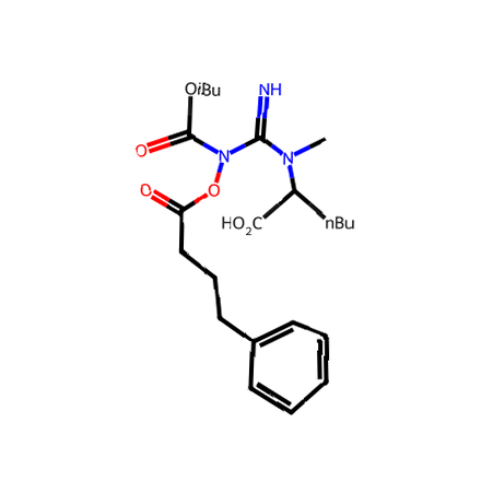 CCCCC(C(=O)O)N(C)C(=N)N(OC(=O)CCCc1ccccc1)C(=O)OCC(C)C